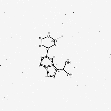 C[C@@H]1CN(c2ccn3ncc(C(O)O)c3n2)CCO1